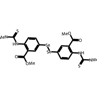 CNC(=S)Nc1ccc([Se][Se]c2ccc(NC(=S)NC)c(C(=O)OC)c2)cc1C(=O)OC